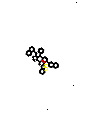 c1ccc2cc(-c3ccc(-c4c5ccccc5c(-c5cccc6ccccc56)c5cccc(-c6ccc7sc8ccccc8c7c6)c45)cc3)ccc2c1